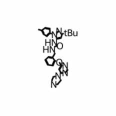 Cc1ccc(-n2nc(C(C)(C)C)cc2NC(=O)NCc2ccccc2Oc2cc(N3CCN(C)CC3)ncn2)cc1